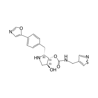 O=C(NCc1cnsc1)O[C@@H]1[C@@H](O)CN[C@@H]1Cc1ccc(-c2cnco2)cc1